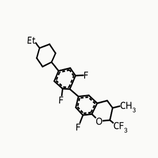 CCC1CCC(c2cc(F)c(-c3cc(F)c4c(c3)CC(C)C(C(F)(F)F)O4)c(F)c2)CC1